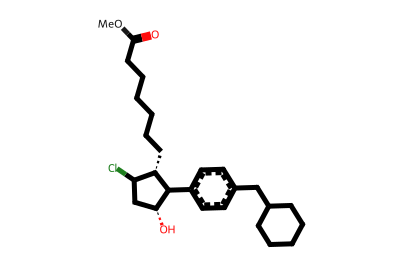 COC(=O)CCCCCC[C@H]1C(Cl)C[C@@H](O)C1c1ccc(CC2CCCCC2)cc1